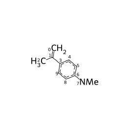 C=C(C)c1ccc(NC)cc1